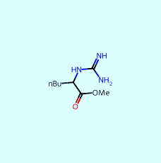 CCCCC(NC(=N)N)C(=O)OC